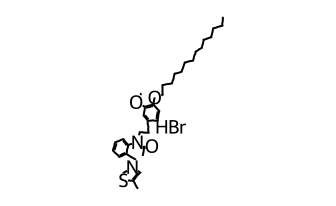 Br.CCCCCCCCCCCCCCOc1ccc(CCN(C(C)=O)c2ccccc2CN2C=C(C)SC2)cc1OC